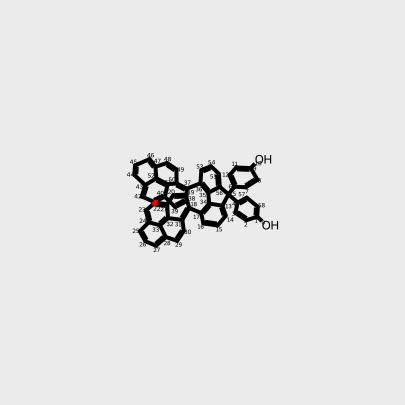 Oc1ccc(C2(c3ccc(O)cc3)c3cccc(-c4ccc5ccc6cccc7ccc4c5c67)c3-c3c(-c4ccc5ccc6cccc7ccc4c5c67)cccc32)cc1